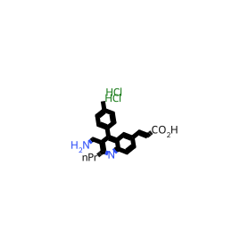 CCCc1nc2ccc(/C=C/C(=O)O)cc2c(-c2ccc(C)cc2)c1CN.Cl.Cl